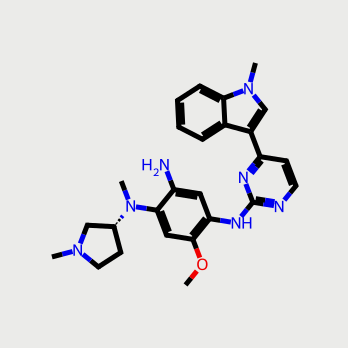 COc1cc(N(C)[C@@H]2CCN(C)C2)c(N)cc1Nc1nccc(-c2cn(C)c3ccccc23)n1